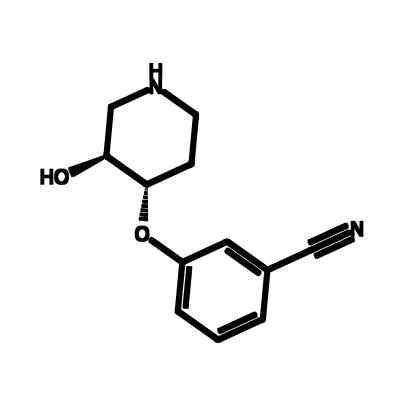 N#Cc1cccc(O[C@H]2CCNC[C@@H]2O)c1